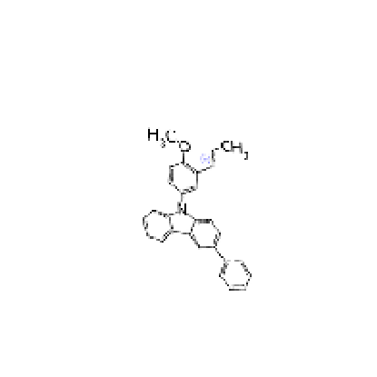 C/C=C/c1cc(-n2c3ccccc3c3cc(-c4ccccc4)ccc32)ccc1OC